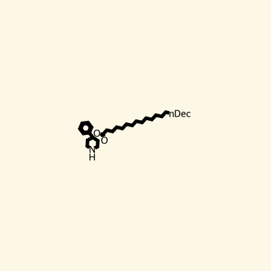 CCCCCCCCCCCCCCCCCCCCCCCC(=O)OC1(c2ccccc2)CCNCC1